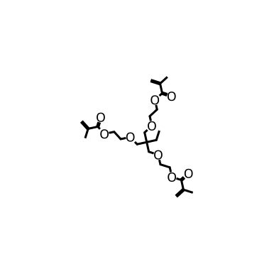 C=C(C)C(=O)OCCOCC(CC)(COCCOC(=O)C(=C)C)COCCOC(=O)C(=C)C